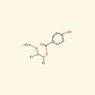 CCCCCCCCOC(CC)C(CC)OC(=O)c1ccc(O)cc1